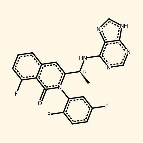 C[C@H](Nc1ncnc2[nH]cnc12)c1cc2cccc(F)c2c(=O)n1-c1cc(F)ccc1F